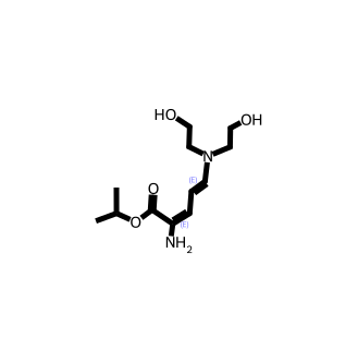 CC(C)OC(=O)/C(N)=C\C=C\N(CCO)CCO